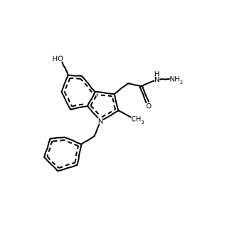 Cc1c(CC(=O)NN)c2cc(O)ccc2n1Cc1ccccc1